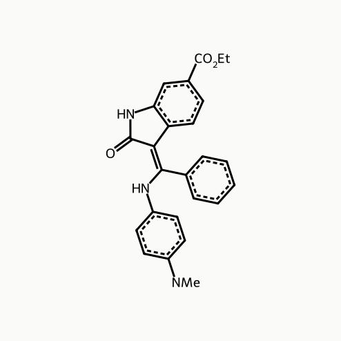 CCOC(=O)c1ccc2c(c1)NC(=O)/C2=C(\Nc1ccc(NC)cc1)c1ccccc1